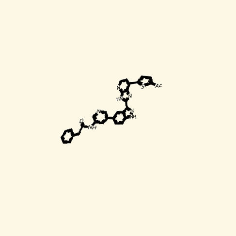 CC(=O)c1ccc(-c2ccnc3[nH]c(-c4n[nH]c5ccc(-c6cncc(NC(=O)Cc7ccccc7)c6)cc45)nc23)s1